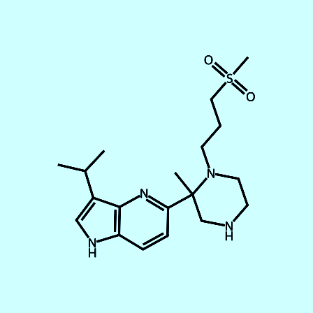 CC(C)c1c[nH]c2ccc(C3(C)CNCCN3CCCS(C)(=O)=O)nc12